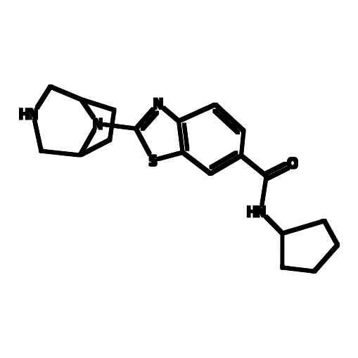 O=C(NC1CCCC1)c1ccc2nc(N3C4CCC3CNC4)sc2c1